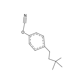 CC(C)(C)CCc1ccc(OC#N)cc1